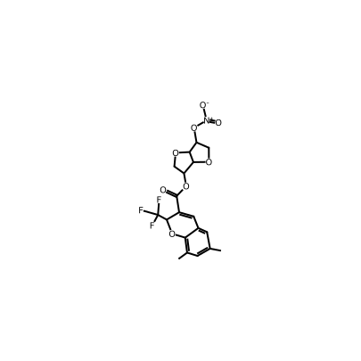 Cc1cc(C)c2c(c1)C=C(C(=O)OC1COC3C(O[N+](=O)[O-])COC13)C(C(F)(F)F)O2